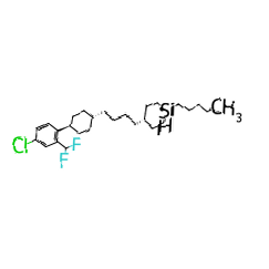 CCCCC[Si@H]1CC[C@H](CCCC[C@H]2CC[C@H](c3ccc(Cl)cc3C(F)F)CC2)CC1